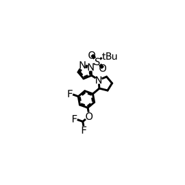 CC(C)(C)S(=O)(=O)n1nccc1N1CCCC1c1cc(F)cc(OC(F)F)c1